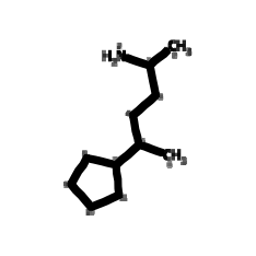 CC(N)CCC(C)C1CCCC1